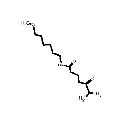 COCCCCCCNC(=O)CCCC(=O)C(C)C